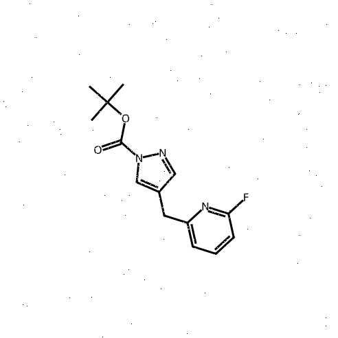 CC(C)(C)OC(=O)n1cc(Cc2cccc(F)n2)cn1